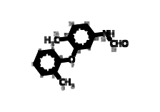 Cc1ccccc1Oc1cc(NC=O)ccc1C